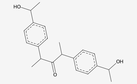 CC(O)c1ccc(C(C)C(=O)C(C)c2ccc(C(C)O)cc2)cc1